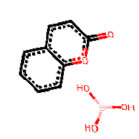 O=c1ccc2ccccc2o1.OB(O)O